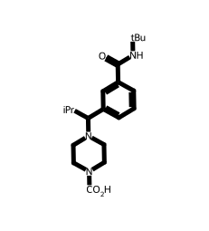 CC(C)C(c1cccc(C(=O)NC(C)(C)C)c1)N1CCN(C(=O)O)CC1